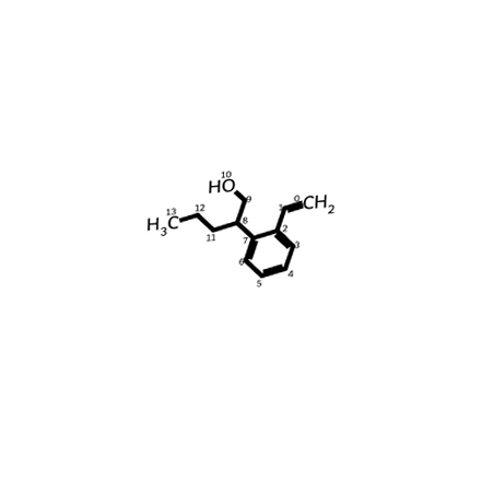 C=Cc1ccccc1C(CO)CCC